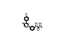 CNC(=O)Nc1cccc(N2C=C(c3ccc(F)cc3)C(C)=CC2)c1